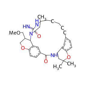 COCC1COc2ccc3cc2C1N1C(=N)NC(C)(CCCCCc2ccc4c(c2)C(CC(C)(C)O4)NC3=O)CC1=O